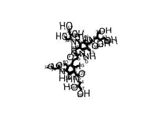 CNN(C(=O)CC(=O)c1c(I)c(NC(=O)COC)c(I)c(C(=O)NCC(O)CO)c1I)c1c(I)c(C(=O)NC(CO)C(O)CO)c(I)c(C(=O)NC(CO)C(O)CO)c1I